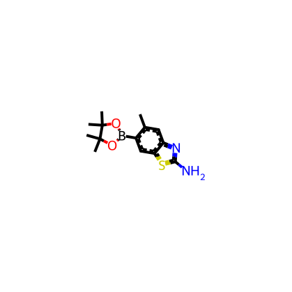 Cc1cc2nc(N)sc2cc1B1OC(C)(C)C(C)(C)O1